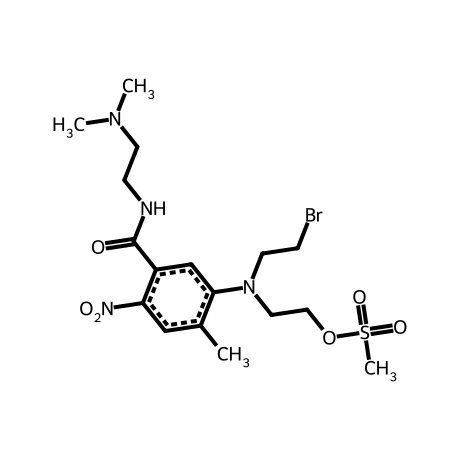 Cc1cc([N+](=O)[O-])c(C(=O)NCCN(C)C)cc1N(CCBr)CCOS(C)(=O)=O